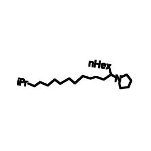 CCCCCCC(CCCCCCCCCCCC(C)C)N1CCCC1